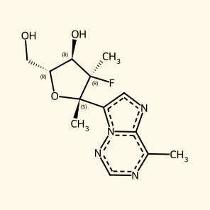 Cc1ncnn2c([C@]3(C)O[C@H](CO)[C@@H](O)[C@@]3(C)F)cnc12